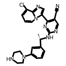 C[C@H](Nc1ncc(C#N)c(-c2cnc3c(Cl)cccn23)n1)c1cccc(N2CCNCC2)c1